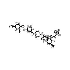 O=C(CN1CCC(Oc2cccc(COc3ccc(Cl)cc3F)n2)CC1)Nc1c(F)cc(Br)cc1NCC1CCO1